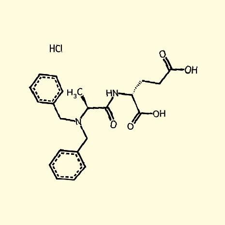 C[C@@H](C(=O)N[C@H](CCC(=O)O)C(=O)O)N(Cc1ccccc1)Cc1ccccc1.Cl